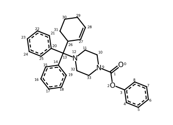 O=C(Oc1ccccc1)N1CCN(C(c2ccccc2)(c2ccccc2)C2C=CCCC2)CC1